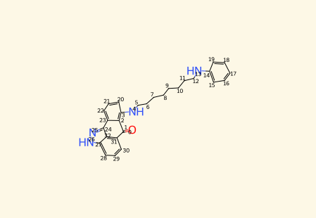 O=C1c2c(NCCCCCCCCNc3ccccc3)cccc2-c2n[nH]c3cccc1c23